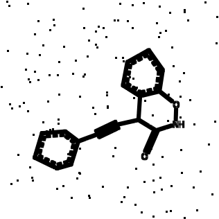 O=C1NOc2ccccc2C1C#Cc1ccccc1